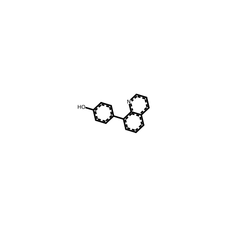 Oc1ccc(-c2cccc3cccnc23)cc1